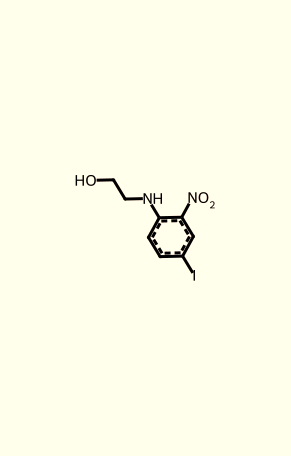 O=[N+]([O-])c1cc(I)ccc1NCCO